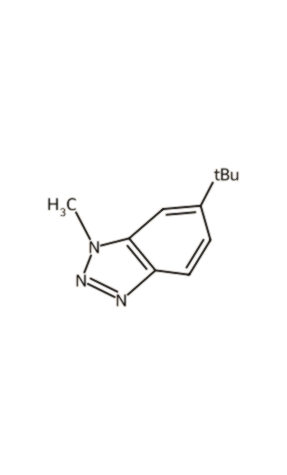 Cn1nnc2ccc(C(C)(C)C)cc21